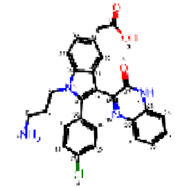 CC(=O)O.NCCCn1c(-c2ccc(Cl)cc2)c(-c2nc3ccccc3[nH]c2=O)c2ccccc21